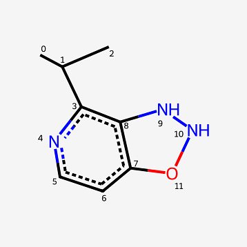 CC(C)c1nccc2c1NNO2